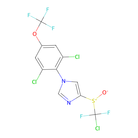 [O-][S+](c1cn(-c2c(Cl)cc(OC(F)(F)F)cc2Cl)cn1)C(F)(F)Cl